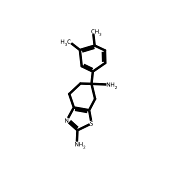 Cc1ccc(C2(N)CCc3nc(N)sc3C2)cc1C